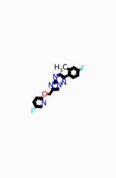 Cc1cc(F)ccc1-c1cnc2nc(COc3ccc(F)cn3)cn2n1